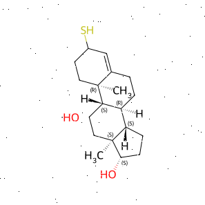 C[C@]12CC[C@H]3[C@@H](CCC4=CC(S)CC[C@@]43C)[C@@H]1CC[C@@H]2O.[OH]